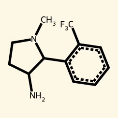 CN1CCC(N)C1c1ccccc1C(F)(F)F